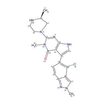 C[C@H]1CN(c2nc3[nH]cc(-c4ccc5nn(C)cc5c4Cl)c3c(=O)n2C)CCN1